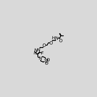 C=C(C)C(=O)NCCOCCOCCn1nnc(CN2CCS(=O)(=O)CC2)c1F